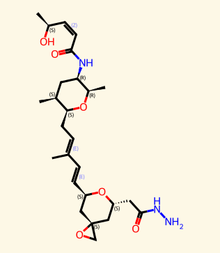 CC(/C=C/[C@@H]1C[C@]2(CO2)C[C@@H](CC(=O)NN)O1)=C\C[C@@H]1O[C@H](C)[C@H](NC(=O)/C=C\[C@H](C)O)C[C@@H]1C